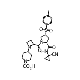 Cc1ccc(S(=O)(=O)[C@@H]2C[C@@H](C(=O)NC3(C#N)CC3)N(C(=O)C3CCN3C3CCN(C(=O)O)CC3)C2)cc1